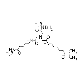 BNC(=O)CCCCNC(=O)CN(CC(=O)NCCCCCC(=O)C(C)C)CC(=O)N(B)B